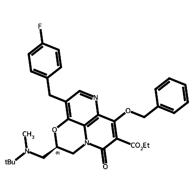 CCOC(=O)c1c(OCc2ccccc2)c2ncc(Cc3ccc(F)cc3)c3c2n(c1=O)C[C@@H](CN(C)C(C)(C)C)O3